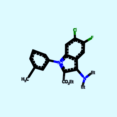 CCOC(=O)c1c(N(CC)CC)c2cc(F)c(Cl)cc2n1-c1cccc(C)c1